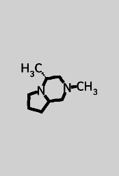 C[C@@H]1CN(C)CC2CCCN21